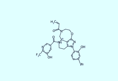 C=CC(=O)N1CCOc2nn(-c3ccc(C(C)C)cc3O)c3c2[C@H](C1)N(C(=O)c1cnc(C(F)(F)F)c(O)c1)CC3